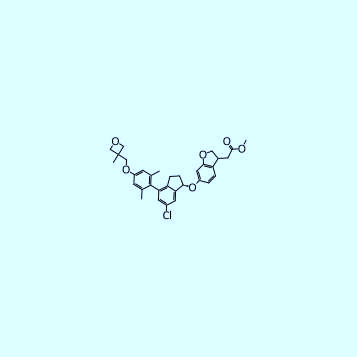 COC(=O)CC1COc2cc(O[C@@H]3CCc4c(-c5c(C)cc(OCC6(C)COC6)cc5C)cc(Cl)cc43)ccc21